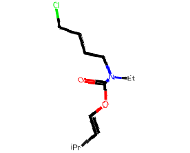 CCN(CCCCCl)C(=O)OC=CC(C)C